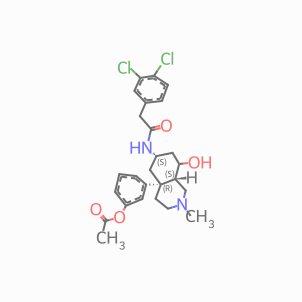 CC(=O)Oc1cccc([C@@]23CCN(C)C[C@H]2C(O)C[C@@H](NC(=O)Cc2ccc(Cl)c(Cl)c2)C3)c1